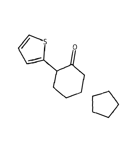 C1CCCC1.O=C1CCCCC1c1cccs1